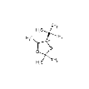 CC1OC(C)(C)O[C@@H]1C(C)(C)C